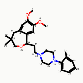 COc1cc2c(cc1OC)C(CCN1CCN(c3ccccc3C)CC1)OCC(C)(C)C2